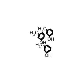 Cc1cccc(O)c1.Cc1cccc(O)c1.Cc1cccc(O)c1